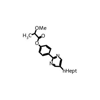 CCCCCCCc1cnc(-c2ccc(OC(=O)C(C)OC)cc2)nc1